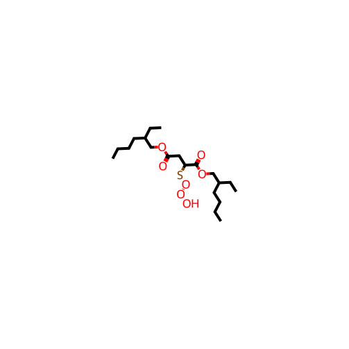 CCCCC(CC)COC(=O)CC(SOOO)C(=O)OCC(CC)CCCC